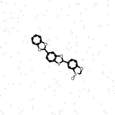 [O-][S+]1COc2ccc(C3Oc4cc(C5Oc6ccccc6O5)ccc4S3)cc21